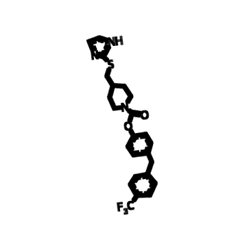 O=C(Oc1ccc(Cc2ccc(C(F)(F)F)cc2)cc1)N1CCC(CSc2ncc[nH]2)CC1